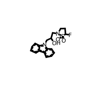 O=S1(=O)C(F)CCN1CC(O)Cn1c2ccccc2c2ccccc21